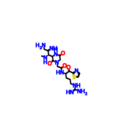 CN[C@H](C(=N)CN)[C@H]1NC(=O)CN(CC(=O)NC(CCCNC(=N)N)C(=O)c2nccs2)C1=O